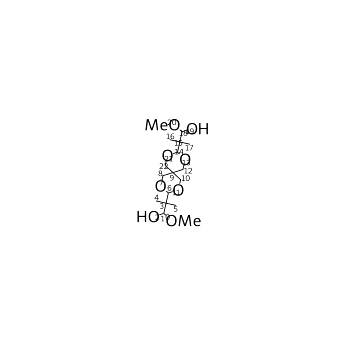 COC(O)C(C)(C)C1OCC2(CO1)COC(C(C)(C)C(O)OC)OC2